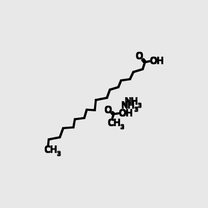 CC(=O)O.CCCCCCCCCCCCCCCCCC(=O)O.N.N